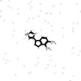 Cc1ccc2c(c1C)CCC2c1c[nH]cn1